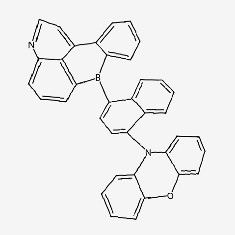 c1ccc2c(c1)Oc1ccccc1N2c1ccc(B2c3ccccc3-c3ccnc4cccc2c34)c2ccccc12